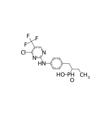 CCC(Cc1ccc(Nc2ncc(C(F)(F)F)c(Cl)n2)cc1)[PH](=O)O